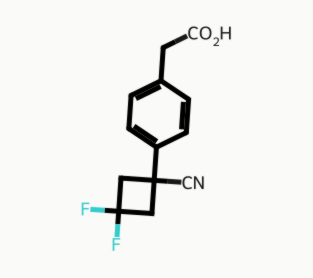 N#CC1(c2ccc(CC(=O)O)cc2)CC(F)(F)C1